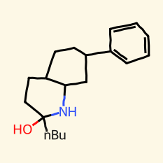 CCCCC1(O)CCC2CCC(c3ccccc3)CC2N1